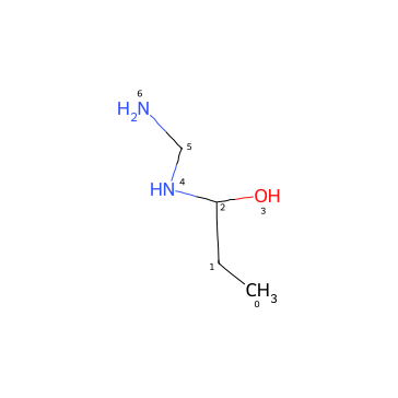 CCC(O)NCN